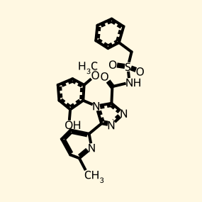 COc1cccc(O)c1-n1c(C(=O)NS(=O)(=O)Cc2ccccc2)nnc1C1=C=C=CC(C)=N1